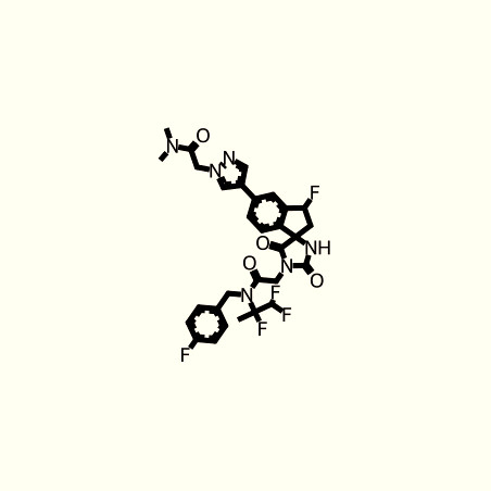 CN(C)C(=O)Cn1cc(-c2ccc3c(c2)C(F)CC32NC(=O)N(CC(=O)N(Cc3ccc(F)cc3)C(C)(F)C(F)F)C2=O)cn1